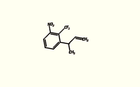 C=C[C](C)c1cccc([N+](=O)[O-])c1C(F)(F)F